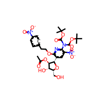 CC(=O)O[C@@H]1[C@@H](O)[C@@H](CO)O[C@H]1c1cc([N+](=O)[O-])c(N(C(=O)OC(C)(C)C)C(=O)OC(C)(C)C)nc1OCCc1ccc([N+](=O)[O-])cc1